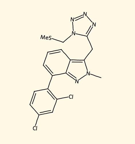 CSCn1nnnc1Cc1c2cccc(-c3ccc(Cl)cc3Cl)c2nn1C